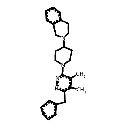 Cc1c(Cc2ccccc2)nnc(N2CCC(N3CCc4ccccc4C3)CC2)c1C